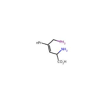 CCCC(=CC(N)C(=O)O)CP